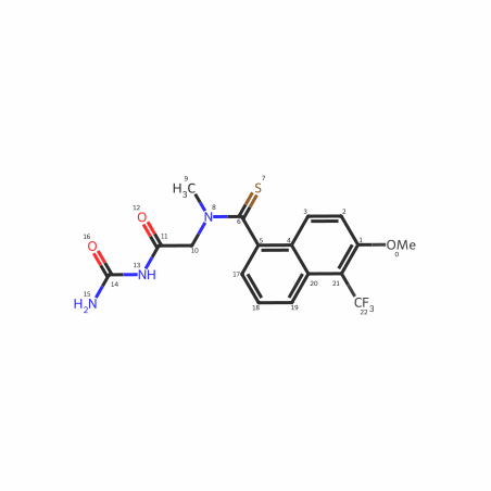 COc1ccc2c(C(=S)N(C)CC(=O)NC(N)=O)cccc2c1C(F)(F)F